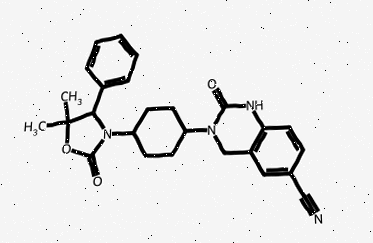 CC1(C)OC(=O)N(C2CCC(N3Cc4cc(C#N)ccc4NC3=O)CC2)C1c1ccccc1